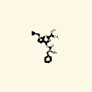 C=C(OCC)c1nc(OC(=O)N(Cc2ccccc2)C(C)(C)C)c2ccn(CC3CC3)c2n1